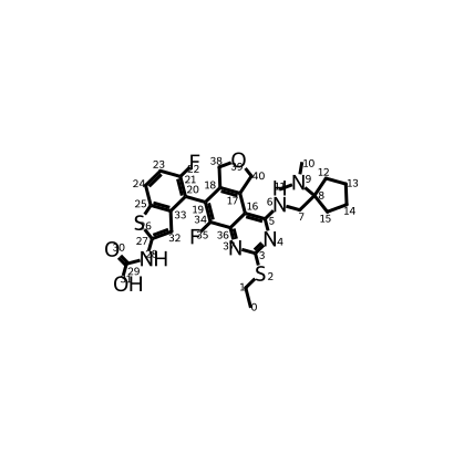 CCSc1nc(NCC2(N(C)C)CCCC2)c2c3c(c(-c4c(F)ccc5sc(NC(=O)O)cc45)c(F)c2n1)COC3